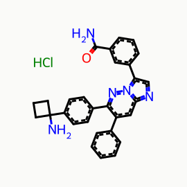 Cl.NC(=O)c1cccc(-c2cnc3cc(-c4ccccc4)c(-c4ccc(C5(N)CCC5)cc4)nn23)c1